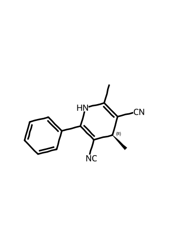 [C-]#[N+]C1=C(c2ccccc2)NC(C)=C(C#N)[C@H]1C